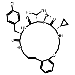 CC(O)[C@H]1C(=O)N[C@H](Cc2ccc(Cl)cc2)C(=O)NC/C=C/c2ccccc2OCCN[C@@H](C2CC2)C(=O)N1C